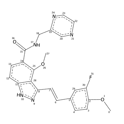 COc1ccc(/C=C/c2n[nH]c3ccc(C(=O)NCc4cnccn4)c(OC)c23)cc1F